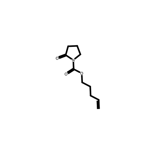 C=CCCCOC(=O)N1CCCC1=O